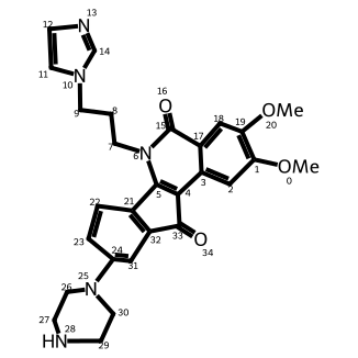 COc1cc2c3c(n(CCCn4ccnc4)c(=O)c2cc1OC)-c1ccc(N2CCNCC2)cc1C3=O